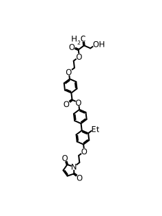 C=C(CO)C(=O)OCCOc1ccc(C(=O)Oc2ccc(-c3ccc(OCCN4C(=O)C=CC4=O)cc3CC)cc2)cc1